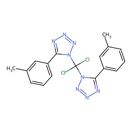 Cc1cccc(-c2nnnn2C(Cl)(Cl)n2nnnc2-c2cccc(C)c2)c1